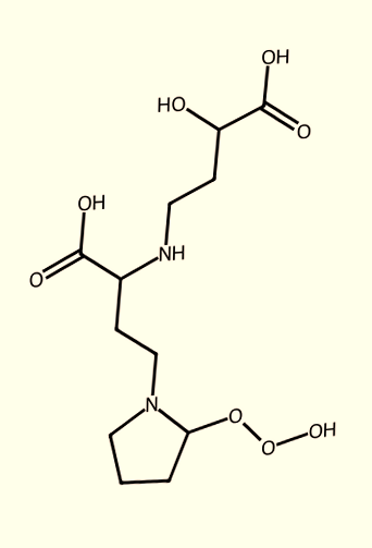 O=C(O)C(O)CCNC(CCN1CCCC1OOO)C(=O)O